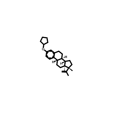 C=C(C)[C@@]1(C)CC[C@H]2[C@@H]3CCc4cc(OC5CCCC5)ccc4[C@H]3CC[C@@]21C